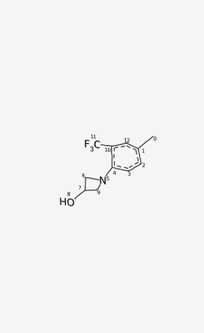 Cc1ccc(N2CC(O)C2)c(C(F)(F)F)c1